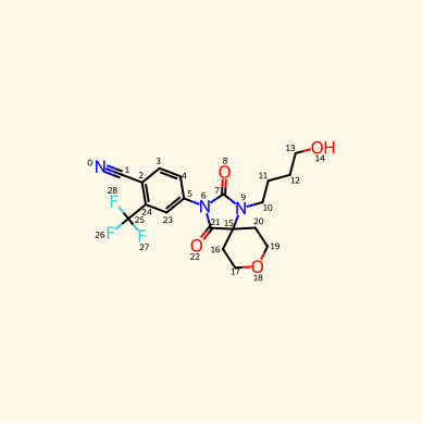 N#Cc1ccc(N2C(=O)N(CCCCO)C3(CCOCC3)C2=O)cc1C(F)(F)F